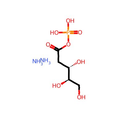 N.N.O=C(C[C@H](O)[C@H](O)CO)OP(=O)(O)O